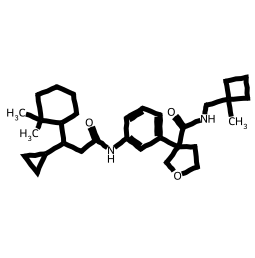 CC1(CNC(=O)C2(c3cccc(NC(=O)CC(C4CC4)C4CCCCC4(C)C)c3)CCOC2)CCC1